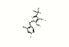 Cc1c(N)c(C(F)(F)F)nn1Cc1ccc(F)cc1F